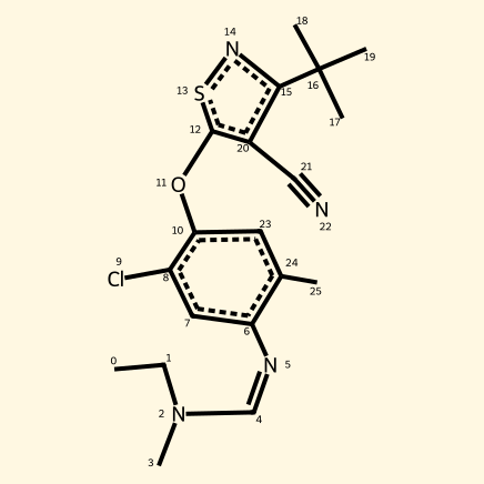 CCN(C)/C=N\c1cc(Cl)c(Oc2snc(C(C)(C)C)c2C#N)cc1C